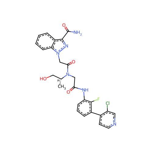 C[C@H](CO)N(CC(=O)Nc1cccc(-c2ccncc2Cl)c1F)C(=O)Cn1nc(C(N)=O)c2ccccc21